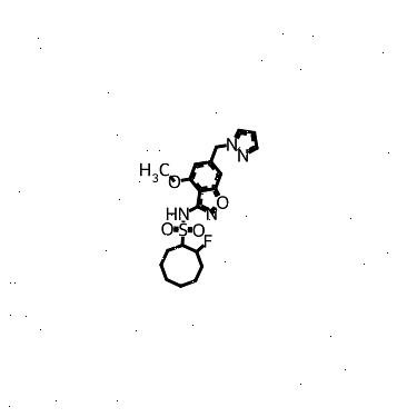 COc1cc(Cn2cccn2)cc2onc(NS(=O)(=O)C3CCCCCCC3F)c12